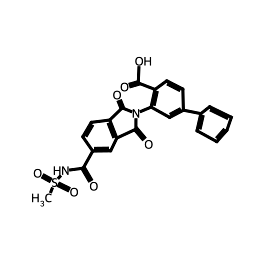 CS(=O)(=O)NC(=O)c1ccc2c(c1)C(=O)N(c1cc(-c3ccccc3)ccc1C(=O)O)C2=O